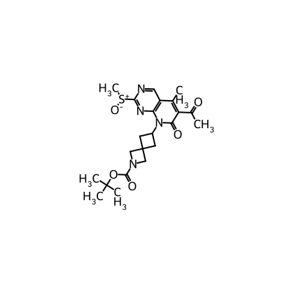 CC(=O)c1c(C)c2cnc([S+](C)[O-])nc2n(C2CC3(C2)CN(C(=O)OC(C)(C)C)C3)c1=O